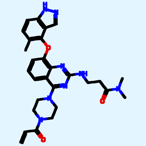 C=CC(=O)N1CCN(c2nc(NCCC(=O)N(C)C)nc3c(Oc4c(C)ccc5[nH]ncc45)cccc23)CC1